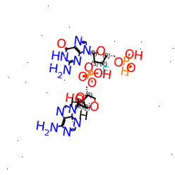 Nc1nc2c(ncn2[C@@H]2O[C@H](CO[PH](=O)O)[C@@H](F)[C@H]2OP(=O)(O)OC[C@@]23CO[C@@H]([C@H](n4cnc5c(N)ncnc54)O2)[C@@H]3O)c(=O)[nH]1